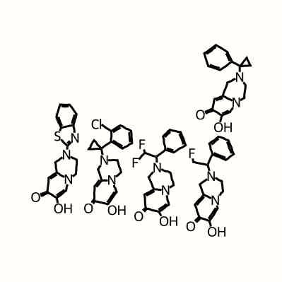 O=c1cc2n(cc1O)CCN(C(CF)c1ccccc1)C2.O=c1cc2n(cc1O)CCN(C(c1ccccc1)C(F)F)C2.O=c1cc2n(cc1O)CCN(C1(c3ccccc3)CC1)C2.O=c1cc2n(cc1O)CCN(C1(c3ccccc3Cl)CC1)C2.O=c1cc2n(cc1O)CCN(c1nc3ccccc3s1)C2